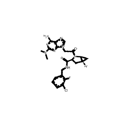 CN(C)c1nc(N)c2ncn(CC(=O)N3C(C(=O)NCc4cccc(Cl)c4F)C[C@H]4CC43)c2n1